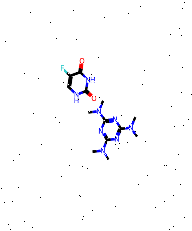 CN(C)c1nc(N(C)C)nc(N(C)C)n1.O=c1[nH]cc(F)c(=O)[nH]1